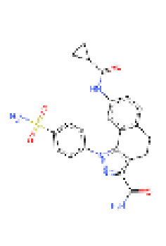 NC(=O)c1nn(-c2ccc(S(N)(=O)=O)cc2)c2c1CCc1ccc(NC(=O)C3CC3)cc1-2